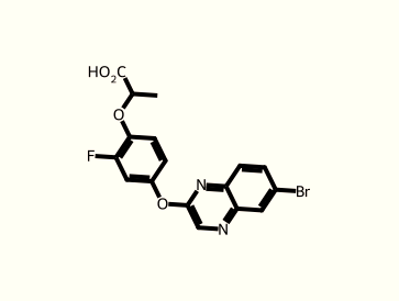 CC(Oc1ccc(Oc2cnc3cc(Br)ccc3n2)cc1F)C(=O)O